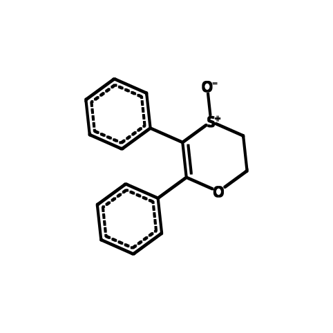 [O-][S+]1CCOC(c2ccccc2)=C1c1ccccc1